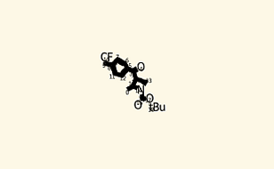 CC1C(C(=O)c2ccc(CC(F)(F)F)cc2)CN1C(=O)OC(C)(C)C